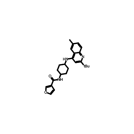 Cc1ccc2nc(C(C)(C)C)cc(NC3CCC(NC(=O)c4ccoc4)CC3)c2c1